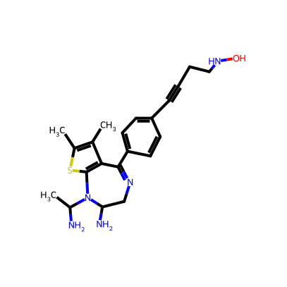 Cc1sc2c(c1C)C(c1ccc(C#CCCNO)cc1)=NCC(N)N2C(C)N